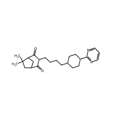 CC1(C)CC2CC1C(=O)N(CCCCN1CCN(c3ncccn3)CC1)C2=O